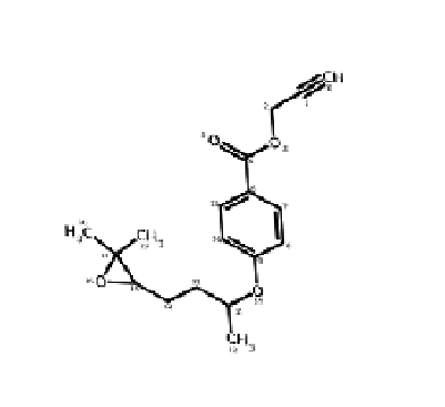 C#CCOC(=O)c1ccc(OC(C)CCC2OC2(C)C)cc1